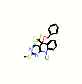 CSc1ncc2c(n1)N(Cl)c1ccccc1C2(OCc1ccccc1)C(F)(F)F